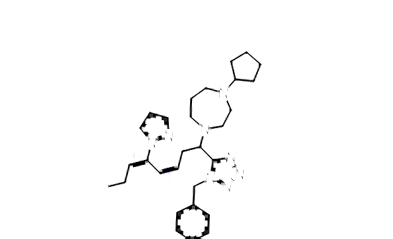 CC/C=C(\C=C/CC(c1nnnn1Cc1ccccc1)N1CCCN(C2CCCC2)CC1)n1cccn1